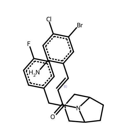 Nc1cc(Cl)c(Br)cc1/C=C/C(=O)N1C2CCC1CN(Cc1ccc(F)cc1)C2